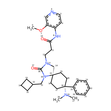 COc1cnccc1NC(=O)CCN1C[C@]2(CC[C@@](c3ccccc3)(N(C)C)CC2)N(CC2CCC2)C1=O